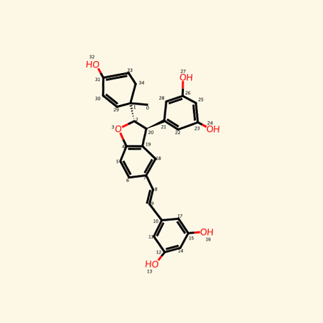 CC1([C@H]2Oc3ccc(/C=C/c4cc(O)cc(O)c4)cc3[C@@H]2c2cc(O)cc(O)c2)C=CC(O)=CC1